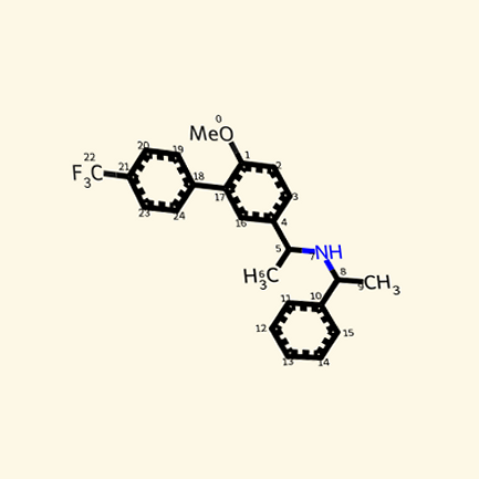 COc1ccc(C(C)NC(C)c2ccccc2)cc1-c1ccc(C(F)(F)F)cc1